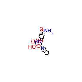 NC(=O)c1ccc(NCCN2CC3CCCC3C2)cc1.O=C(O)C(=O)O